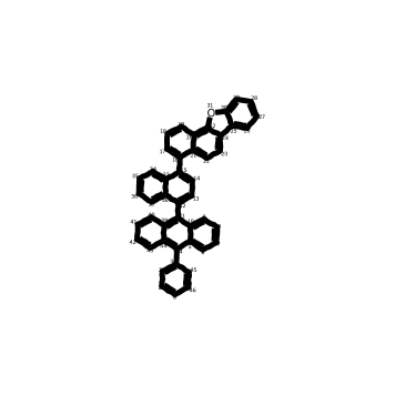 c1ccc(-c2c3ccccc3c(-c3ccc(-c4cccc5c4ccc4c6ccccc6oc54)c4ccccc34)c3ccccc23)cc1